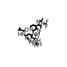 [2H]C([2H])([2H])NC(=O)c1nnc(NC(=O)C2CC2)cc1Nc1nccc2c1N(C)Cc1c-2nc(C)n1C(F)F